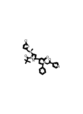 CN(Cc1ccc(Cl)s1)c1cc(-c2cc(-c3ccccc3)n(CC(=O)c3ccncc3)c(=O)c2)nn1C(=O)C(C)(C)C